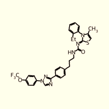 CCc1ccccc1-n1c(C)cs/c1=N\C(=O)NCCCc1ccc(-c2ncn(-c3ccc(OC(F)(F)F)cc3)n2)cc1